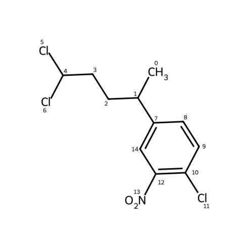 CC(CCC(Cl)Cl)c1ccc(Cl)c([N+](=O)[O-])c1